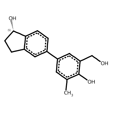 Cc1cc(-c2ccc3c(c2)CC[C@@H]3O)cc(CO)c1O